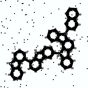 c1ccc2cc(-n3c4ccccc4c4c3ccc3c5ccccc5n(-c5ccc6oc7c(-c8cccc9oc%10ccccc%10c89)cccc7c6c5)c34)ccc2c1